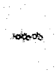 CC(C)C1(N2CCOCC2)CCN(c2cc3c(cn2)C(=O)c2c([nH]c4cc(C(N)=O)ccc24)C3(C)C)CC1